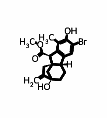 C=C1C[C@]23C[C@@]1(O)CC[C@H]2c1cc(Br)c(O)c(C)c1[C@@H]3C(=O)OC